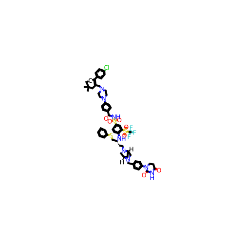 CC1(C)CCC(c2ccc(Cl)cc2)=C(CN2CCN(c3ccc(C(=O)NS(=O)(=O)c4ccc(N[C@H](CCN5C[C@@H]6C[C@H]5CN6Cc5ccc(N6CCC(=O)NC6=O)cc5)CSc5ccccc5)c(S(=O)(=O)C(F)(F)F)c4)cc3)CC2)C1